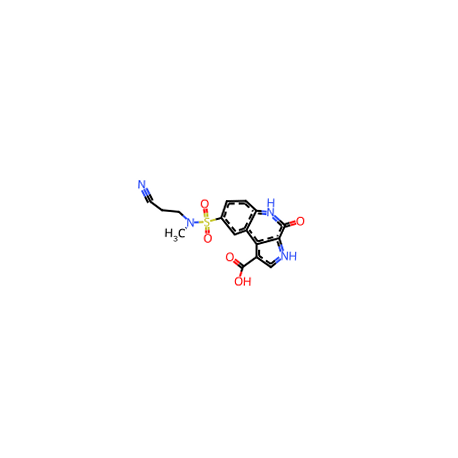 CN(CCC#N)S(=O)(=O)c1ccc2[nH]c(=O)c3[nH]cc(C(=O)O)c3c2c1